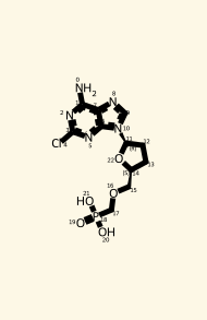 Nc1nc(Cl)nc2c1ncn2[C@H]1CC[C@@H](COCP(=O)(O)O)O1